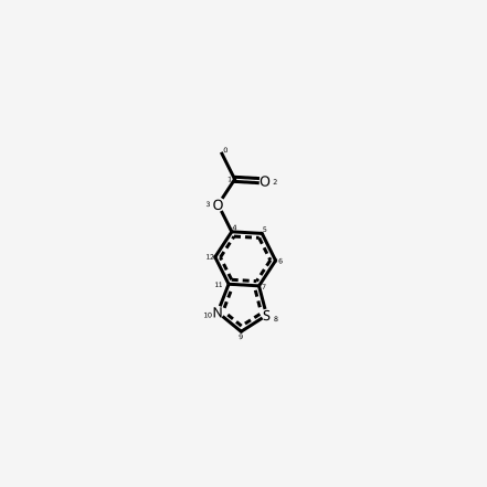 CC(=O)Oc1ccc2scnc2c1